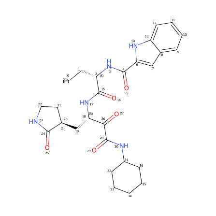 CC(C)C[C@H](NC(=O)c1cc2ccccc2[nH]1)C(=O)N[C@@H](C[C@@H]1CCNC1=O)C(=O)C(=O)NC1CCCCC1